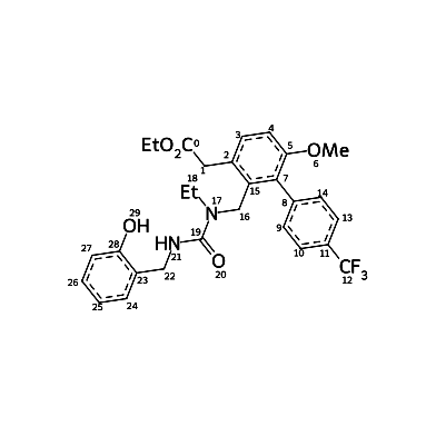 CCOC(=O)Cc1ccc(OC)c(-c2ccc(C(F)(F)F)cc2)c1CN(CC)C(=O)NCc1ccccc1O